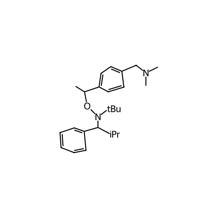 CC(ON(C(c1ccccc1)C(C)C)C(C)(C)C)c1ccc(CN(C)C)cc1